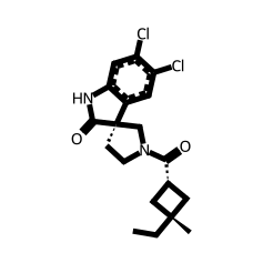 CC[C@]1(C)C[C@H](C(=O)N2CC[C@]3(C2)C(=O)Nc2cc(Cl)c(Cl)cc23)C1